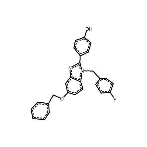 Oc1ccc(-c2nc3cc(OCc4ccccc4)ccc3n2Cc2ccc(F)cc2)cc1